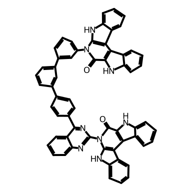 O=c1c2[nH]c3ccccc3c2c2c3ccccc3[nH]c2n1-c1cccc(-c2cccc(-c3ccc(-c4nc(-n5c(=O)c6[nH]c7ccccc7c6c6c7ccccc7[nH]c65)nc5ccccc45)cc3)c2)c1